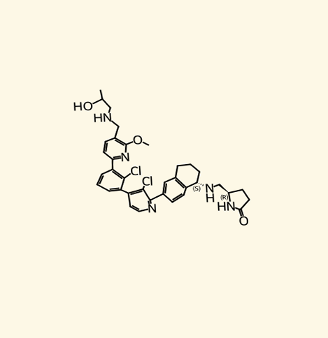 COc1nc(-c2cccc(-c3ccnc(-c4ccc5c(c4)CCC[C@@H]5NC[C@H]4CCC(=O)N4)c3Cl)c2Cl)ccc1CNCC(C)O